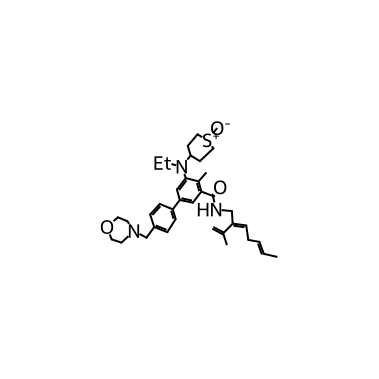 C=C(C)/C(=C\C/C=C/C)CNC(=O)c1cc(-c2ccc(CN3CCOCC3)cc2)cc(N(CC)C2CC[S+]([O-])CC2)c1C